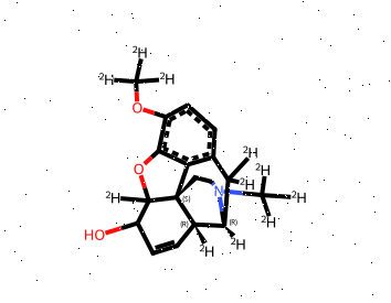 [2H]C([2H])([2H])Oc1ccc2c3c1OC1([2H])C(O)C=C[C@]4([2H])[C@@]31CCN(C([2H])([2H])[2H])[C@]4([2H])C2([2H])[2H]